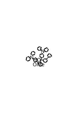 COc1cc(N(c2ccccc2)c2ccccc2)ccc1-c1ccccc1C(O)(c1ccc(N(c2ccccc2)c2ccccc2)cc1)c1cccc(-c2ccccc2)c1